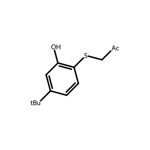 CC(=O)CSc1ccc(C(C)(C)C)cc1O